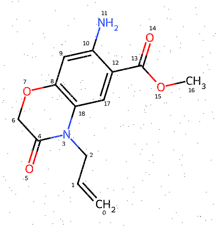 C=CCN1C(=O)COc2cc(N)c(C(=O)OC)cc21